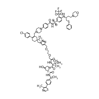 Cc1ncsc1-c1ccc([C@H](C)NC(=O)[C@@H]2C[C@@H](O)CN2C(=O)[C@@H](NC(=O)COCCOCc2cn(CC3(C)CCC(c4ccc(Cl)cc4)=C(CN4CCN(c5ccc(C(=O)NS(=O)(=O)c6ccc(NC(CCN7CCOCC7)CSc7ccccc7)c(S(=O)(=O)C(F)(F)F)c6)cc5)CC4)C3)nn2)C(C)(C)C)cc1